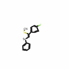 N#CSC(=C[Se]c1ccccc1)c1ccc(F)cc1